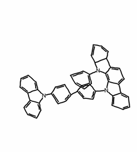 C1=CC2c3ccc4c5ccccc5n(-c5ccc(-c6ccc(-n7c8ccccc8c8ccccc87)cc6)cc5)c4c3N(c3ccccc3)C2C=C1